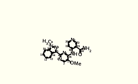 COc1cnc(-c2nn(C)c3ccccc23)nc1Nc1ccncc1C(N)=O